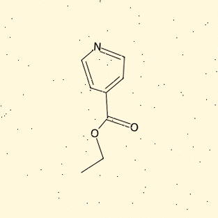 CCOC(=O)c1[c]cncc1